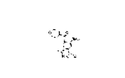 CNc1cc2c(Cl)nnc(C)c2cc1C(=O)N1CCOCC1